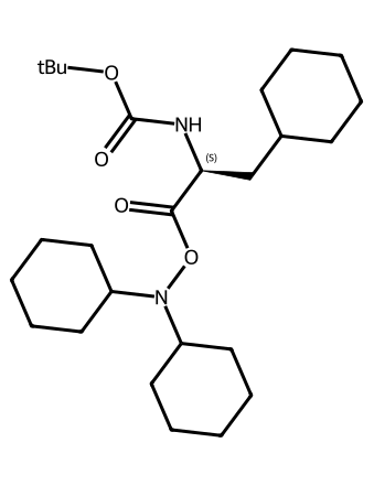 CC(C)(C)OC(=O)N[C@@H](CC1CCCCC1)C(=O)ON(C1CCCCC1)C1CCCCC1